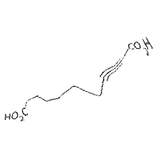 O=C(O)C#CCCCCC(=O)O